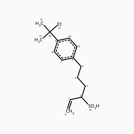 C=CC(CCCc1ccc(C(C)(C)CC)cc1)S(=O)(=O)O